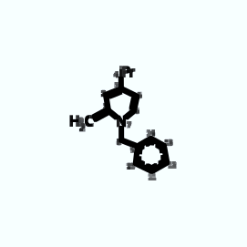 C=C1C=C(C(C)C)C=CN1Cc1ccccc1